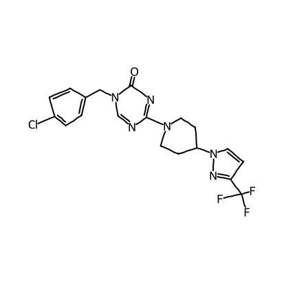 O=c1nc(N2CCC(n3ccc(C(F)(F)F)n3)CC2)ncn1Cc1ccc(Cl)cc1